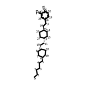 CCCCCC[C@H]1CC[C@H](CC[C@H]2CC[C@H](CCc3ccc(F)c(F)c3)CC2)CC1